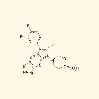 CC(C)c1c([C@H]2CC[C@H](C(=O)O)OC2)c2nc3[nH]ncc3cc2n1-c1ccc(F)c(F)c1